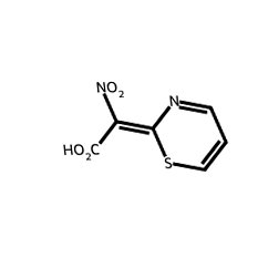 O=C(O)/C(=C1/N=CC=CS1)[N+](=O)[O-]